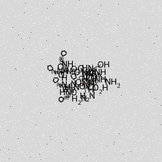 NCCCCC[C@H](NC(=O)[C@H](CCCCN)NC(=O)[C@H](CCO)NC(=O)CNC(=O)COc1cc(C(=O)N2C[C@@H](C(=O)N[C@H]3C[C@@H]3c3ccccc3)[C@H](C(=O)N[C@H]3C[C@@H]3c3ccccc3)C2)ccc1C(=O)N1C[C@@H](C(=O)N[C@H]2C[C@@H]2c2ccccc2)[C@H](C(=O)N[C@H]2C[C@@H]2c2ccccc2)C1)C(=O)N[C@@H](CCCCN)C(=O)N[C@@H](CCCCN)C(=O)N[C@@H](CCCCN)C(=O)O